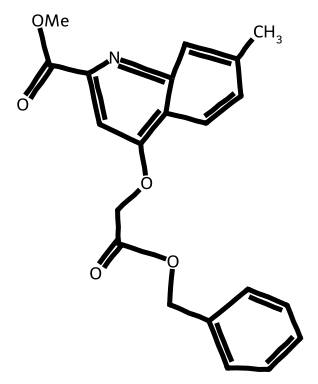 COC(=O)c1cc(OCC(=O)OCc2ccccc2)c2ccc(C)cc2n1